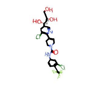 O=C(Nc1ccc(C(F)(F)F)c(Cl)c1)N1CC=C(c2ncc([C@H](O)[C@@H](O)CO)cc2Cl)CC1